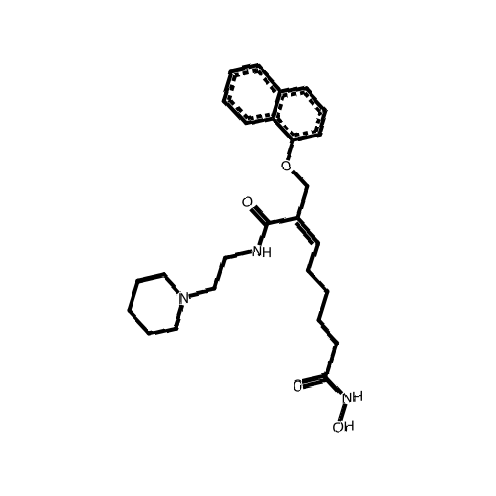 O=C(CCCCC=C(COc1cccc2ccccc12)C(=O)NCCN1CCCCC1)NO